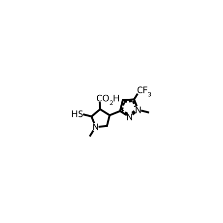 CN1CC(c2cc(C(F)(F)F)n(C)n2)C(C(=O)O)C1S